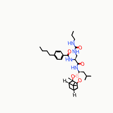 CCCCc1ccc(C(=O)N[C@@H](CNC(=O)NCCC)C(=O)N[C@@H](CC(C)C)B2OC3C[C@@H]4C[C@@H](C4(C)C)[C@]3(C)O2)cc1